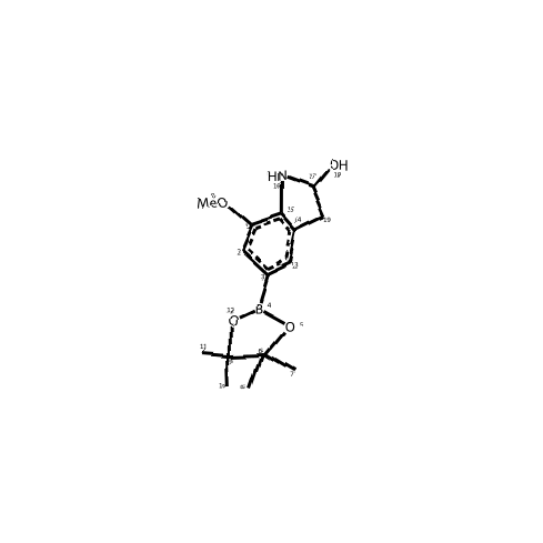 COc1cc(B2OC(C)(C)C(C)(C)O2)cc2c1NC(O)C2